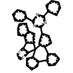 c1ccc(-c2nc(-c3ccccc3)nc(-c3ccc4c(c3)C3(c5ccccc5-c5ccccc5-4)c4ccccc4-c4c3ccc3ccccc43)n2)cc1